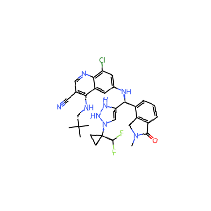 CN1Cc2c(cccc2[C@H](Nc2cc(Cl)c3ncc(C#N)c(NCC(C)(C)C)c3c2)C2=CN(C3(C(F)F)CC3)NN2)C1=O